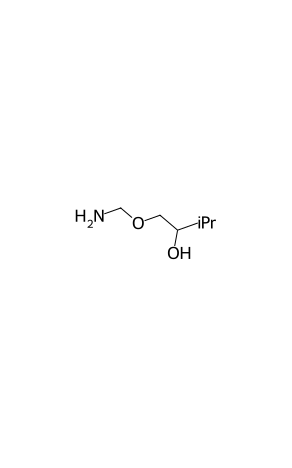 CC(C)C(O)COCN